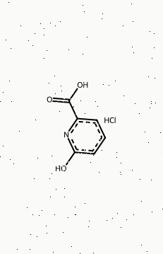 Cl.O=C(O)c1cccc(O)n1